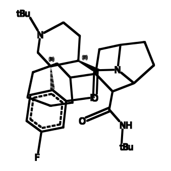 CC(C)(C)NC(=O)C1C(C2CCCCC2)CC2CCC1N2C(=O)[C@@H]1CCN(C(C)(C)C)C[C@H]1c1ccc(F)cc1F